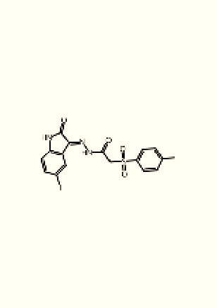 Cc1ccc(S(=O)(=O)CC(=O)N/N=C2/C(=O)Nc3ccc(I)cc32)cc1